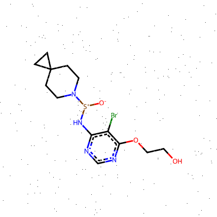 [O-][S+](Nc1ncnc(OCCO)c1Br)N1CCC2(CC1)CC2